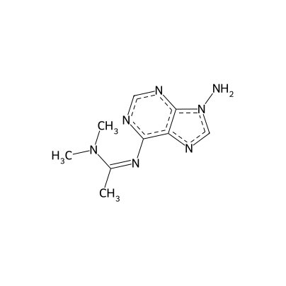 C/C(=N/c1ncnc2c1ncn2N)N(C)C